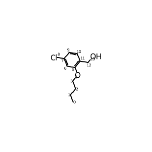 CCCCOc1cc(Cl)ccc1CO